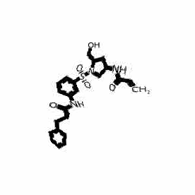 C=CC(=O)NC1CC(CO)N(S(=O)(=O)c2cccc(NC(=O)CCc3ccccc3)c2)C1